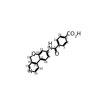 O=C(O)c1ccc(C(=O)Nc2ccc3c(c2)OCc2cnccc2-3)cc1